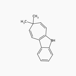 CC1(C)C=CC2=C(C=C1)c1ccccc1B2